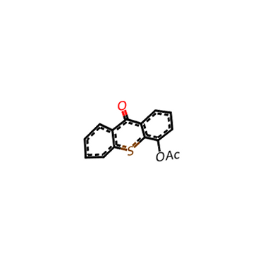 CC(=O)Oc1cccc2c(=O)c3ccccc3sc12